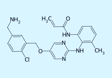 C=CC(=O)Nc1cccc(C)c1Nc1ncc(OCc2cc(CN)ccc2Cl)cn1